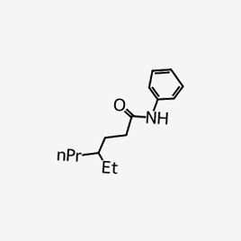 CCCC(CC)CCC(=O)Nc1ccccc1